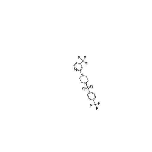 O=S(=O)(c1ccc(C(F)(F)F)cc1)N1CCN(c2cc(C(F)(F)F)ccn2)CC1